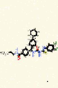 O=C(O)CCNC(=O)c1ccc(C(NC(=O)Nc2nc3cc(Cl)c(Cl)cc3s2)c2ccc(C3CCCCC3)cc2)cc1